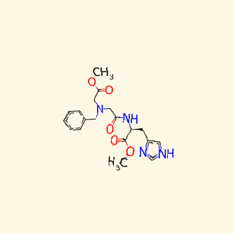 COC(=O)CN(CC(=O)N[C@@H](Cc1c[nH]cn1)C(=O)OC)Cc1ccccc1